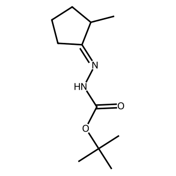 CC1CCCC1=NNC(=O)OC(C)(C)C